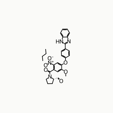 CCCC.COc1cc(C(=O)N2CCC[C@H]2C=O)c([N+](=O)[O-])cc1Oc1ccc(-c2nc3ccccc3[nH]2)cc1